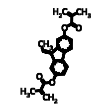 C=C(C)C(=O)Oc1ccc2c(c1)C(=CC)c1cc(OC(=O)C(=C)C)ccc1-2